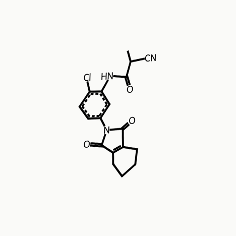 CC(C#N)C(=O)Nc1cc(N2C(=O)C3=C(CCCC3)C2=O)ccc1Cl